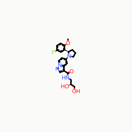 COc1ccc(F)cc1[C@H]1CCCN1c1ccn2ncc(C(=O)NC[C@H](O)CO)c2c1